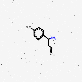 C=CCC(N)c1ccc([N+](=O)[O-])cc1